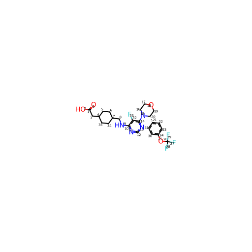 O=C(O)CC1CCC(CNc2ncnc(N3CCOC[C@@H]3c3ccc(OC(F)(F)F)cc3)c2F)CC1